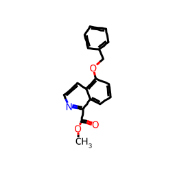 COC(=O)c1nccc2c(OCc3ccccc3)cccc12